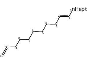 [CH2]CCCCCCC=CCCCCCCCC=C